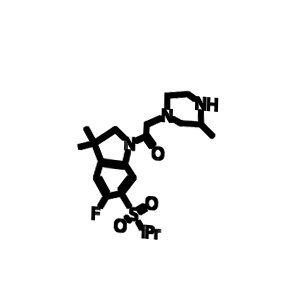 CC1CN(CC(=O)N2CC(C)(C)c3cc(F)c(S(=O)(=O)C(C)C)cc32)CCN1